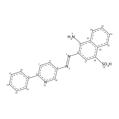 Nc1c(N=Nc2ccc(-c3ccccc3)nc2)cc(S(=O)(=O)O)c2ccccc12